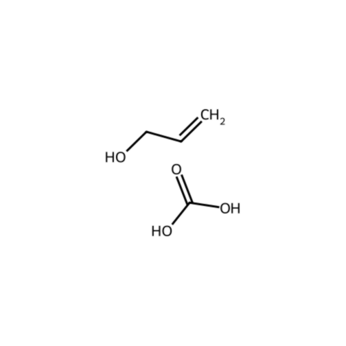 C=CCO.O=C(O)O